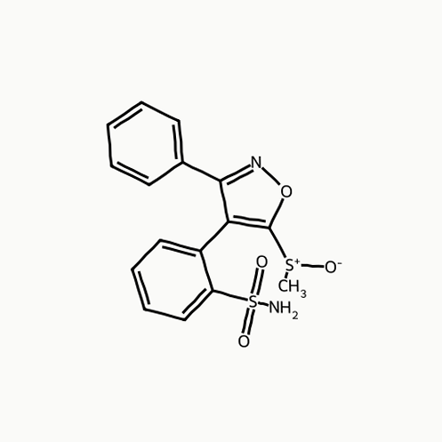 C[S+]([O-])c1onc(-c2ccccc2)c1-c1ccccc1S(N)(=O)=O